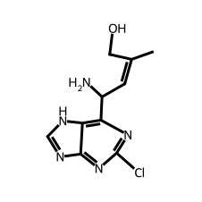 CC(=CC(N)c1nc(Cl)nc2nc[nH]c12)CO